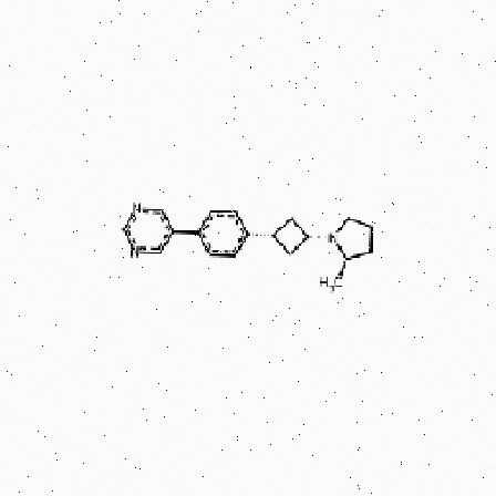 C[C@@H]1CCCN1[C@H]1C[C@@H](c2ccc(-c3cncnc3)cc2)C1